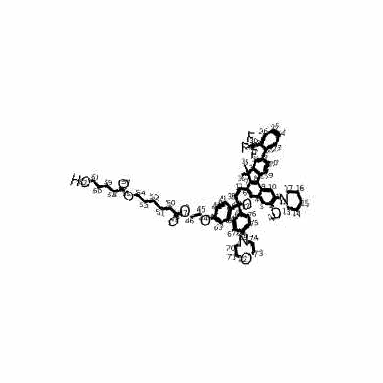 COc1cc2c3c(c4c(c2cc1N1CCCCC1)-c1ccc(-c2ccccc2C(F)(F)F)cc1C4(C)C)C=CC(c1ccc(OCCOC(=O)CCCCCOC(=O)CCCCO)cc1)(c1ccc(N2CCOCC2)cc1)O3